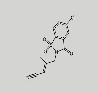 C/C(=C\C#N)CN1C(=O)c2cc(Cl)ccc2S1(=O)=O